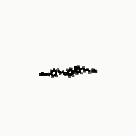 CCCCC[C@H]1CC[C@H](CCCOc2ccc(-c3ccc(CCCC[C@@H](C)CC)cn3)cc2)CC1